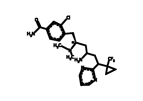 CN(C)[C@@H](Cc1ccc(C(N)=O)cc1Cl)CC(N)CC(c1ncccn1)C1(C(F)(F)F)CC1